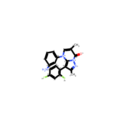 Cc1nn2c(=O)c(C)cn(-c3cccc(N)c3)c2c1-c1ccc(F)cc1F